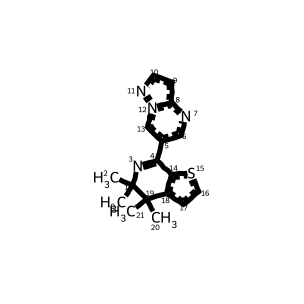 CC1(C)N=C(c2cnc3ccnn3c2)c2sccc2C1(C)C